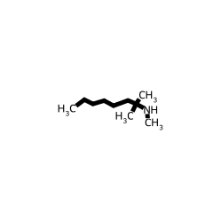 CCCCCCC(C)(C)NC